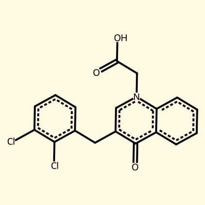 O=C(O)Cn1cc(Cc2cccc(Cl)c2Cl)c(=O)c2ccccc21